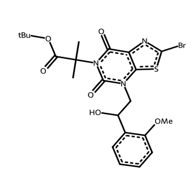 COc1ccccc1C(O)Cn1c(=O)n(C(C)(C)C(=O)OC(C)(C)C)c(=O)c2nc(Br)sc21